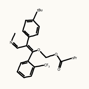 CCCC(=O)OCO/C(=C(/C=N\C)c1ccc(C(C)(C)C)cc1)c1ccccc1C(F)(F)F